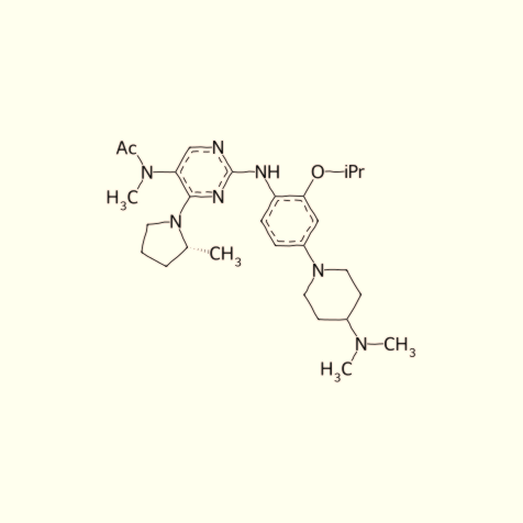 CC(=O)N(C)c1cnc(Nc2ccc(N3CCC(N(C)C)CC3)cc2OC(C)C)nc1N1CCC[C@H]1C